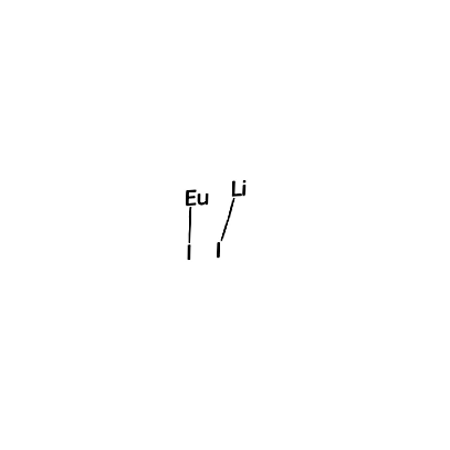 [I][Eu].[Li][I]